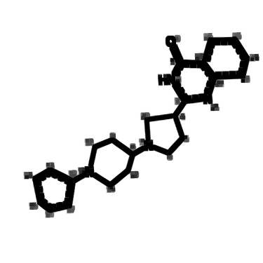 O=c1[nH]c(C2CCN(C3CCN(c4ccccc4)CC3)C2)nc2ccccc12